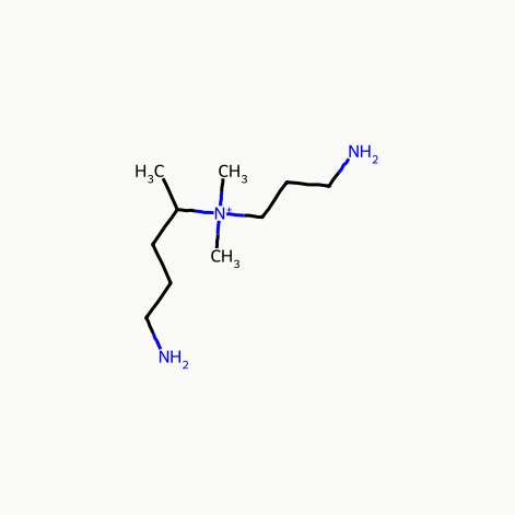 CC(CCCN)[N+](C)(C)CCCN